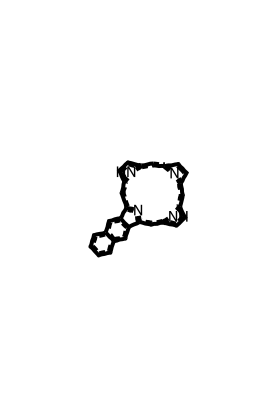 C1=Cc2cc3ccc(cc4nc(cc5ccc(cc1n2)[nH]5)-c1cc2ccccc2cc1-4)[nH]3